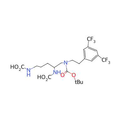 CC(C)(C)OC(=O)N(CCc1cc(C(F)(F)F)cc(C(F)(F)F)c1)CC(CCCNC(=O)O)NC(=O)O